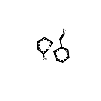 CC(=O)c1ccccc1.CCC=Cc1ccccc1